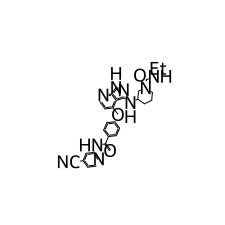 CCNC(=O)N1CCCC(Nc2n[nH]c3nccc(Oc4ccc(C(=O)Nc5cc(C#N)ccn5)cc4)c23)C1